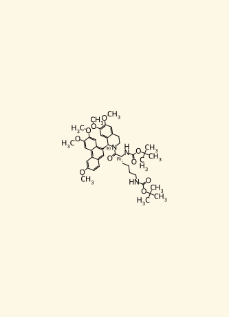 COc1ccc2cc([C@H]3c4cc(OC)c(OC)cc4CCN3C(=O)[C@@H](CCCCNC(=O)OC(C)(C)C)NC(=O)OC(C)(C)C)c3cc(OC)c(OC)cc3c2c1